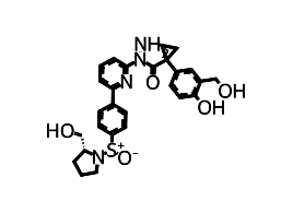 NN(C(=O)C1(c2ccc(O)c(CO)c2)CC1)c1cccc(-c2ccc([S+]([O-])N3CCC[C@@H]3CO)cc2)n1